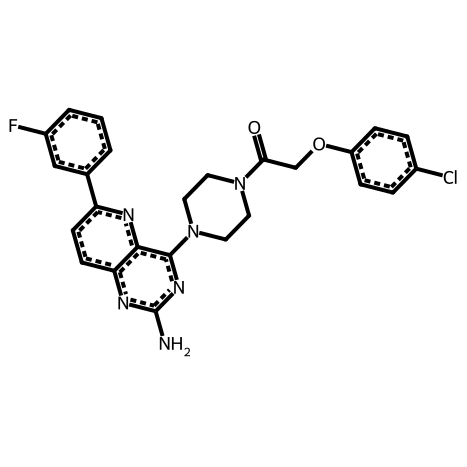 Nc1nc(N2CCN(C(=O)COc3ccc(Cl)cc3)CC2)c2nc(-c3cccc(F)c3)ccc2n1